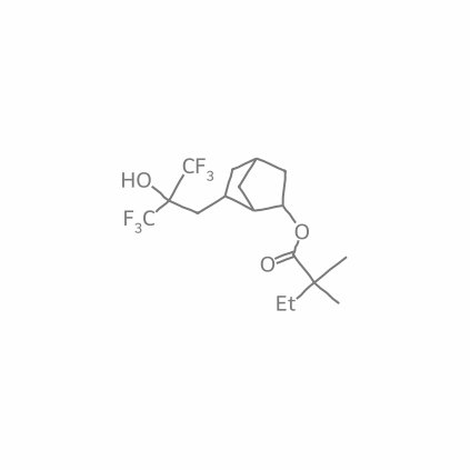 CCC(C)(C)C(=O)OC1CC2CC(CC(O)(C(F)(F)F)C(F)(F)F)C1C2